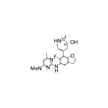 CNc1cc(C)nc(Nc2cc3c(c(C4=CCN[C@@H](C)[C@H](O)C4)c2F)OCC3)n1